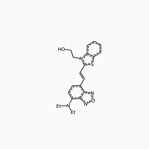 CCN(CC)c1ccc(/C=C/c2sc3ccccc3[n+]2CCO)c2nonc12